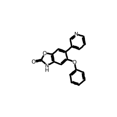 O=c1[nH]c2cc(Oc3ccccc3)c(-c3cccnc3)cc2o1